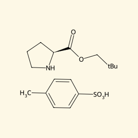 CC(C)(C)COC(=O)[C@@H]1CCCN1.Cc1ccc(S(=O)(=O)O)cc1